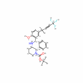 COc1ccc(C(C)(C)C#CC(F)(F)F)cc1CN[C@H]1CCCN(C(=O)OC(C)(C)C)[C@H]1c1ccccc1